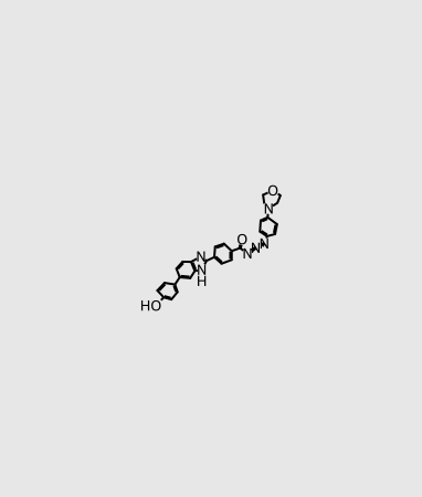 O=C(N=[N+]=Nc1ccc(N2CCOCC2)cc1)c1ccc(-c2nc3ccc(-c4ccc(O)cc4)cc3[nH]2)cc1